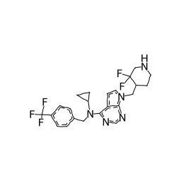 FC(F)(F)c1ccc(CN(c2ncnc3c2ccn3CC2CCNCC2(F)F)C2CC2)cc1